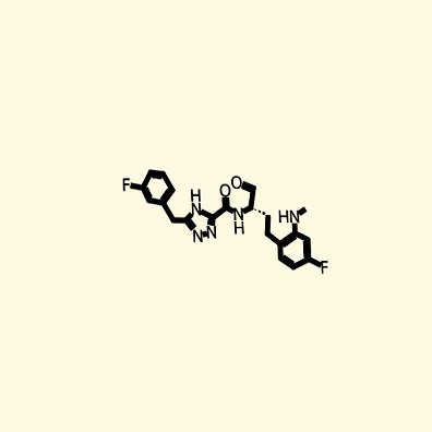 CNc1cc(F)ccc1CC[C@@H](C=O)NC(=O)c1nnc(Cc2cccc(F)c2)[nH]1